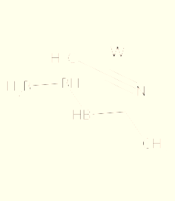 BBBCC.CC#N.[W]